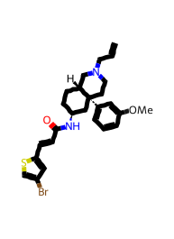 C=CCN1CC[C@@]2(c3cccc(OC)c3)C[C@H](NC(=O)C=Cc3cc(Br)cs3)CC[C@@H]2C1